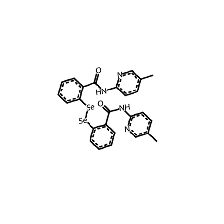 Cc1ccc(NC(=O)c2ccccc2[Se][Se]c2ccccc2C(=O)Nc2ccc(C)cn2)nc1